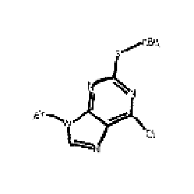 CCCCSc1nc(Cl)c2ncn(CC)c2n1